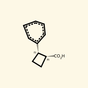 O=C(O)[C@@H]1CC[C@@H]1c1ccccc1